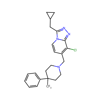 FC(F)(F)C1(c2ccccc2)CCN(Cc2ccn3c(CC4CC4)nnc3c2Cl)CC1